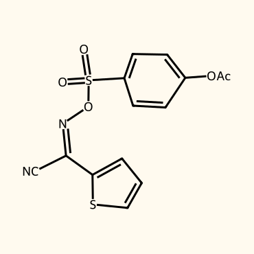 CC(=O)Oc1ccc(S(=O)(=O)ON=C(C#N)c2cccs2)cc1